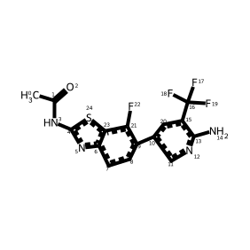 CC(=O)Nc1nc2ccc(-c3cnc(N)c(C(F)(F)F)c3)c(F)c2s1